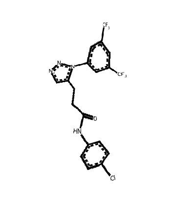 O=C(CCc1cnnn1-c1cc(C(F)(F)F)cc(C(F)(F)F)c1)Nc1ccc(Cl)cc1